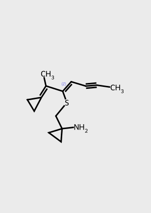 CC#C/C=C(\SCC1(N)CC1)C(C)=C1CC1